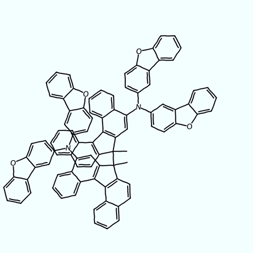 CC1(C2(C)c3ccc4ccccc4c3-c3c2cc(N(c2ccc4oc5ccccc5c4c2)c2ccc4oc5ccccc5c4c2)c2ccccc32)c2ccc3ccccc3c2-c2c1cc(N(c1ccc3oc4ccccc4c3c1)c1ccc3oc4ccccc4c3c1)c1ccccc21